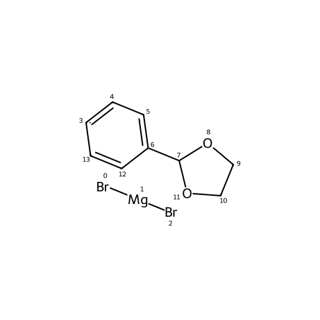 [Br][Mg][Br].[c]1ccc(C2OCCO2)cc1